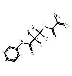 C=C(C)C(=O)OC(C)(CC)C(F)(F)C(=O)Oc1ccccc1